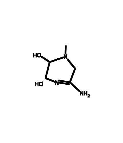 CN1CC(N)=NCC1O.Cl